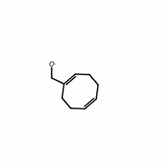 [O]CC1=CCCC=CCC1